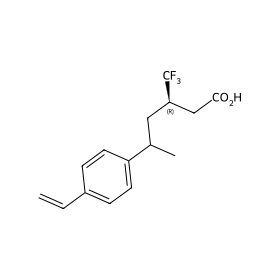 C=Cc1ccc(C(C)C[C@H](CC(=O)O)C(F)(F)F)cc1